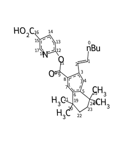 CCCCC=Cc1cc2c(cc1C(=O)Oc1ccc(C(=O)O)cn1)C(C)(C)CCC2(C)C